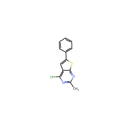 Cc1nc(Cl)c2cc(-c3ccccc3)sc2n1